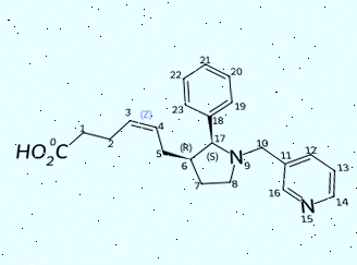 O=C(O)CC/C=C\C[C@@H]1CCN(Cc2cccnc2)[C@@H]1c1ccccc1